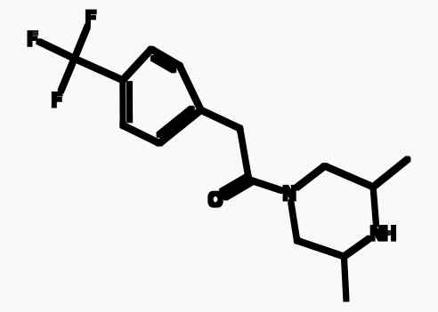 CC1CN(C(=O)Cc2ccc(C(F)(F)F)cc2)CC(C)N1